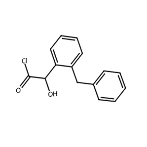 O=C(Cl)C(O)c1ccccc1Cc1ccccc1